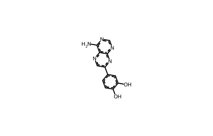 Nc1ncnc2nc(-c3ccc(O)c(O)c3)cnc12